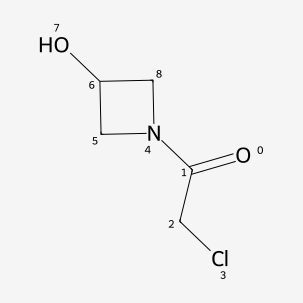 O=C(CCl)N1CC(O)C1